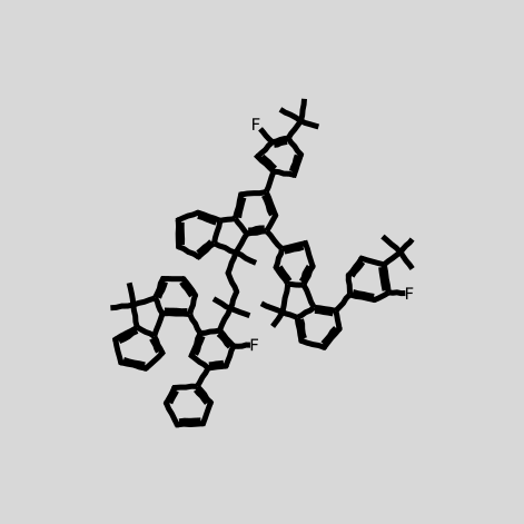 CC(C)(C)c1ccc(-c2cc(-c3ccc4c(c3)C(C)(C)c3cccc(-c5ccc(C(C)(C)C)c(F)c5)c3-4)c3c(c2)-c2ccccc2C3(C)CCC(C)(C)c2c(F)cc(-c3ccccc3)cc2-c2cccc3c2-c2ccccc2C3(C)C)cc1F